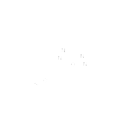 CC(C)Oc1cccc(-c2nn(Cc3nnco3)c3ccccc23)c1